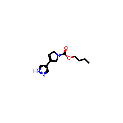 CCCCOC(=O)N1CC=C(c2cn[nH]c2)C1